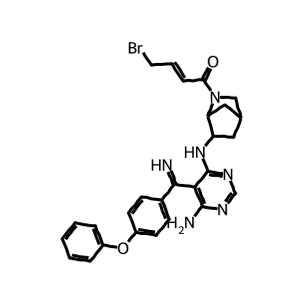 N=C(c1ccc(Oc2ccccc2)cc1)c1c(N)ncnc1NC1CC2CC1N(C(=O)/C=C/CBr)C2